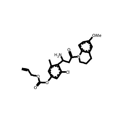 C=CCOC(=O)Oc1cc(C)c(C(N)CC(=O)N2CCCc3cc(OC)ccc32)c(Cl)c1